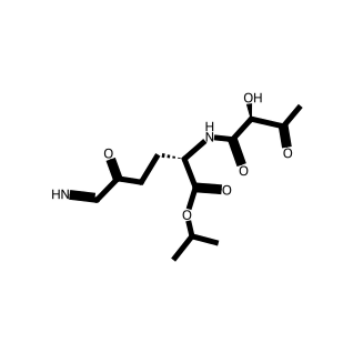 CC(=O)[C@H](O)C(=O)N[C@@H](CCC(=O)C=N)C(=O)OC(C)C